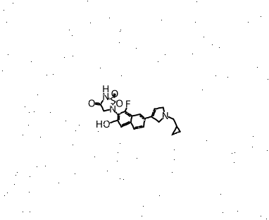 O=C1CN(c2c(O)cc3ccc(C4=CCN(CC5CC5)C4)cc3c2F)S(=O)(=O)N1